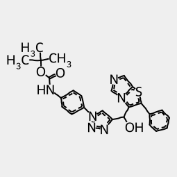 CC(C)(C)OC(=O)Nc1ccc(-n2cc(C(O)c3c(-c4ccccc4)sc4cncn34)nn2)cc1